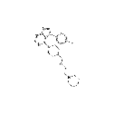 Fc1ccc(-c2csc3ncnc(N4CCC(COCCN5CCOCC5)CC4)c23)cc1